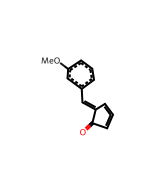 COc1cccc(/C=C2\C=C=CC2=O)c1